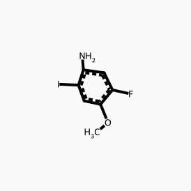 COc1cc(I)c(N)cc1F